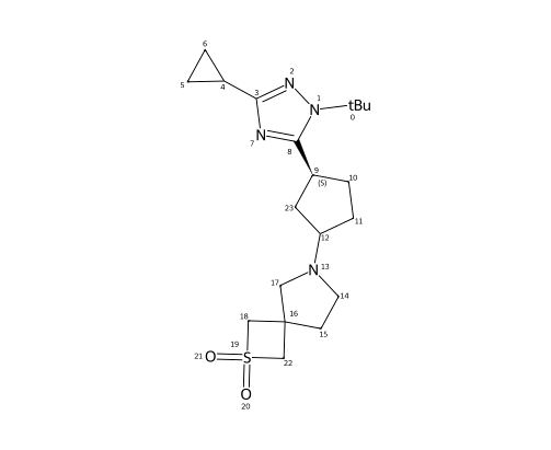 CC(C)(C)n1nc(C2CC2)nc1[C@H]1CCC(N2CCC3(C2)CS(=O)(=O)C3)C1